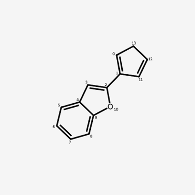 [C]1=C(c2cc3ccccc3o2)C=CC1